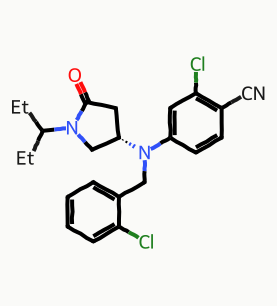 CCC(CC)N1C[C@@H](N(Cc2ccccc2Cl)c2ccc(C#N)c(Cl)c2)CC1=O